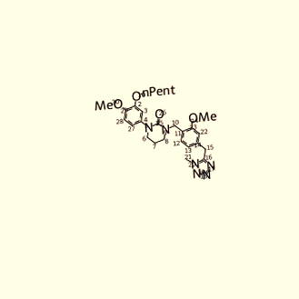 CCCCCOc1cc(N2CCCN(Cc3ccc(Cc4nnnn4C)cc3OC)C2=O)ccc1OC